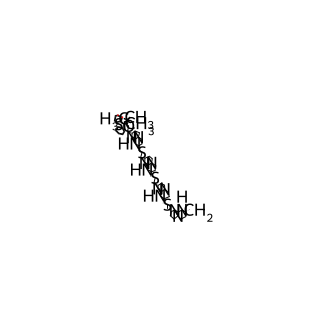 [CH2][C@@H]1CCN2CC[C@H](CSC[C@H]3CCN4CC[C@H](CSC[C@H]5CCN6CC[C@H](CSC[C@H]7CCN8CC[C@H](CO[Si](c9ccccc9)(c9ccccc9)C(C)(C)C)N=C8N7)N=C6N5)N=C4N3)N=C2N1